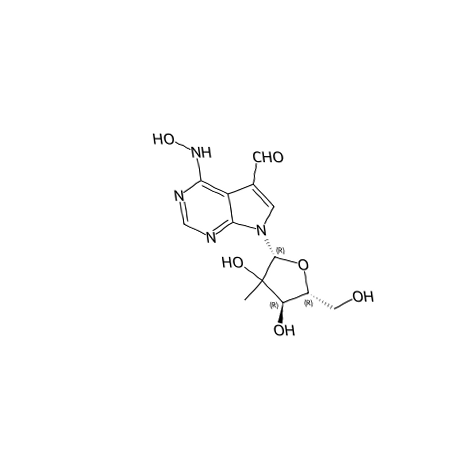 CC1(O)[C@H](O)[C@@H](CO)O[C@H]1n1cc(C=O)c2c(NO)ncnc21